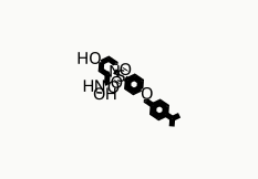 CC(C)c1ccc(COc2ccc(S(=O)(=O)N3CCC(O)CC3C(=O)NO)cc2)cc1